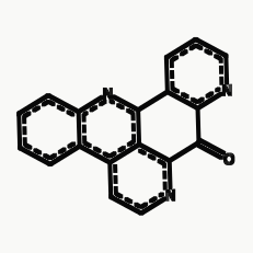 O=C1c2ncccc2-c2nc3ccccc3c3ccnc1c23